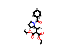 CCOC(=O)C(C(=O)OCC)C(C)C1CCCN1C(=O)c1ccccc1